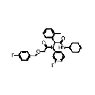 Cc1ccccc1C(C(=O)NC1CCCCC1)N(C(=O)COCc1ccc(F)cc1)c1cccc(F)c1